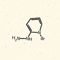 NNC1=CC=C=CN1Br